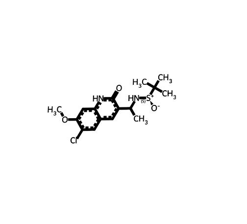 COc1cc2[nH]c(=O)c(C(C)N[S@+]([O-])C(C)(C)C)cc2cc1Cl